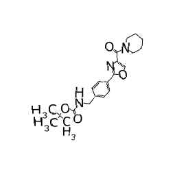 CC(C)(C)OC(=O)NCc1ccc(-c2nc(C(=O)N3CCCCC3)co2)cc1